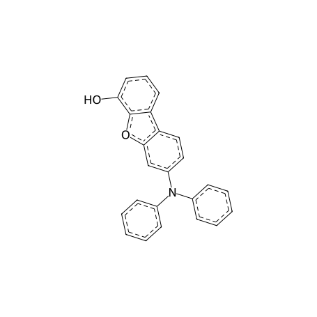 Oc1cccc2c1oc1cc(N(c3ccccc3)c3ccccc3)ccc12